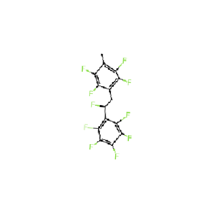 Cc1c(F)c(F)c(CC(F)c2c(F)c(F)c(F)c(F)c2F)c(F)c1F